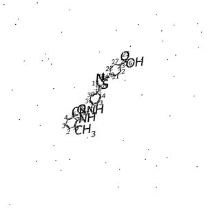 Cc1cccc(Cl)c1NC(=O)Nc1ccc(-c2cnc(C3CCC(C(=O)O)CC3)s2)cc1